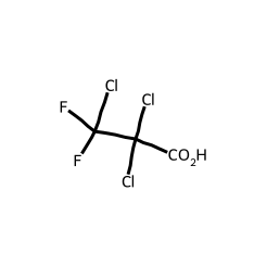 O=C(O)C(Cl)(Cl)C(F)(F)Cl